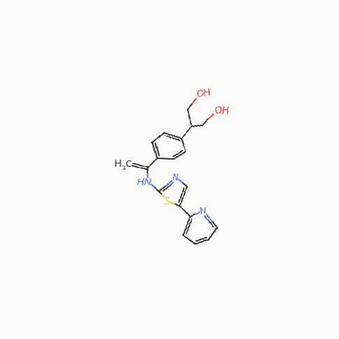 C=C(Nc1ncc(-c2ccccn2)s1)c1ccc(C(CO)CO)cc1